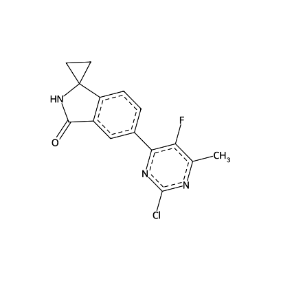 Cc1nc(Cl)nc(-c2ccc3c(c2)C(=O)NC32CC2)c1F